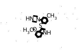 COc1cccc2[nH]cc(Sc3ccc(C)cc3N3CCNCC3)c12